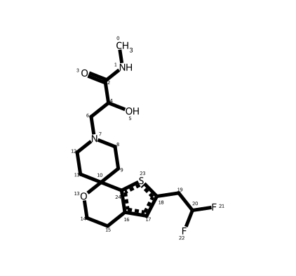 CNC(=O)C(O)CN1CCC2(CC1)OCCc1cc(CC(F)F)sc12